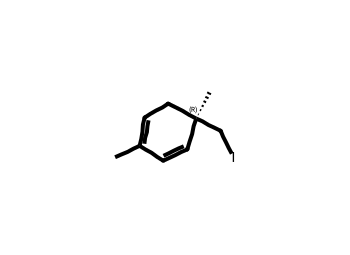 CC1=CC[C@@](C)(CI)C=C1